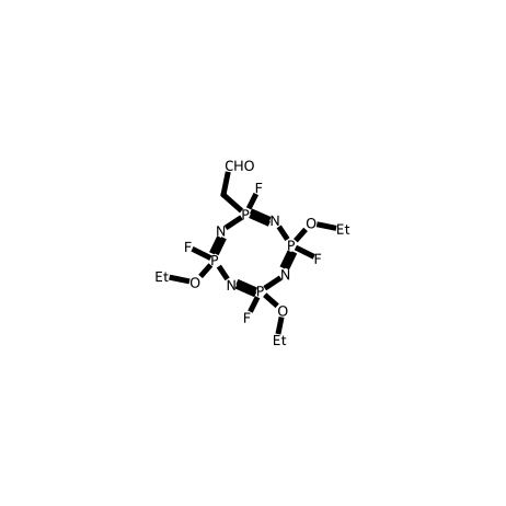 CCOP1(F)=NP(F)(CC=O)=NP(F)(OCC)=NP(F)(OCC)=N1